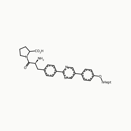 CCCCCCCOc1ccc(-c2cnc(-c3ccc(C[C@H](N)C(=O)N4CCCC4C(=O)O)cc3)nc2)cc1